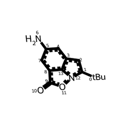 CC(C)(C)c1cc2cc(N)cc3c(=O)on1c23